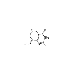 CC=C1CSCc2c1nc(C)[nH]c2=O